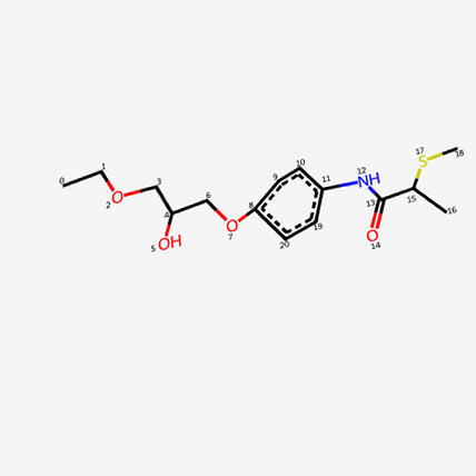 CCOCC(O)COc1ccc(NC(=O)C(C)SC)cc1